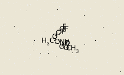 COC(=O)C(=O)Nc1ccc(C)c(Oc2ccc(OC(F)(F)F)cc2)c1